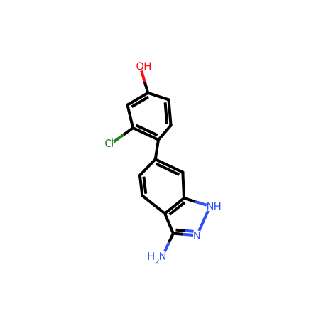 Nc1n[nH]c2cc(-c3ccc(O)cc3Cl)ccc12